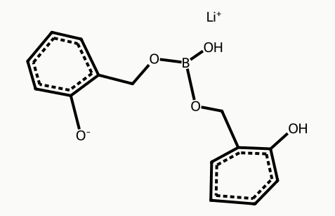 [Li+].[O-]c1ccccc1COB(O)OCc1ccccc1O